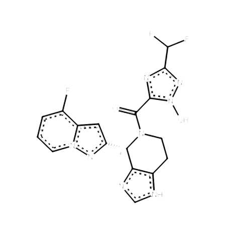 Cn1nc(C(F)F)nc1C(=O)N1CCc2[nH]cnc2[C@@H]1c1cc2c(F)cccn2n1